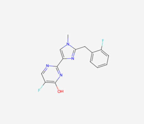 Cn1cc(-c2ncc(F)c(O)n2)nc1Cc1ccccc1F